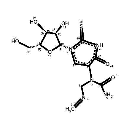 C=NCN(C(N)=O)c1cn([C@@H]2O[C@H](CO)[C@@H](O)[C@H]2O)c(=S)[nH]c1=O